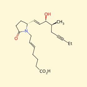 CCC#CC[C@H](C)[C@H](O)/C=C/[C@H]1CCC(=O)N1C/C=C/CCCC(=O)O